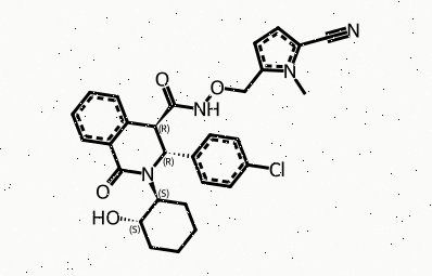 Cn1c(C#N)ccc1CONC(=O)[C@@H]1c2ccccc2C(=O)N([C@H]2CCCC[C@@H]2O)[C@H]1c1ccc(Cl)cc1